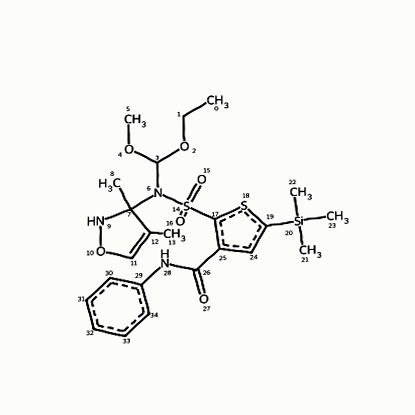 CCOC(OC)N(C1(C)NOC=C1C)S(=O)(=O)c1sc([Si](C)(C)C)cc1C(=O)Nc1ccccc1